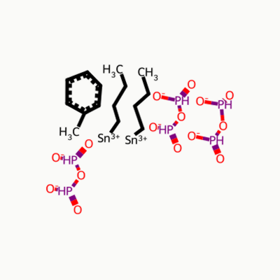 CCC[CH2][Sn+3].CCC[CH2][Sn+3].Cc1ccccc1.O=[PH]([O-])O[PH](=O)[O-].O=[PH]([O-])O[PH](=O)[O-].O=[PH]([O-])O[PH](=O)[O-]